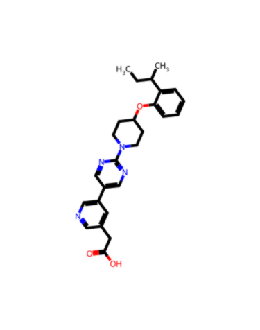 CCC(C)c1ccccc1OC1CCN(c2ncc(-c3cncc(CC(=O)O)c3)cn2)CC1